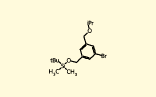 CC(C)OCc1cc(Br)cc(CO[Si](C)(C)C(C)(C)C)c1